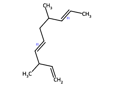 C=CC(C)/C=C/CC(C)/C=C/C